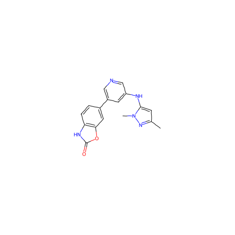 Cc1cc(Nc2cncc(-c3ccc4[nH]c(=O)oc4c3)c2)n(C)n1